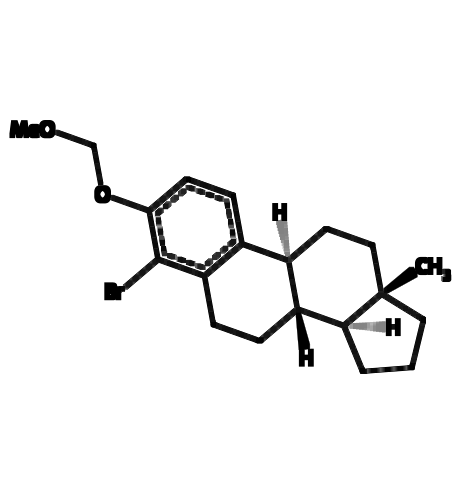 COCOc1ccc2c(c1Br)CC[C@@H]1[C@@H]2CC[C@]2(C)CCC[C@@H]12